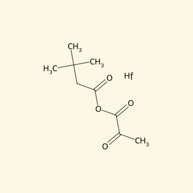 CC(=O)C(=O)OC(=O)CC(C)(C)C.[Hf]